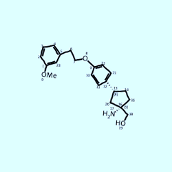 COc1cccc(CCOc2ccc([C@@H]3CC[C@@](N)(CO)C3)cc2)c1